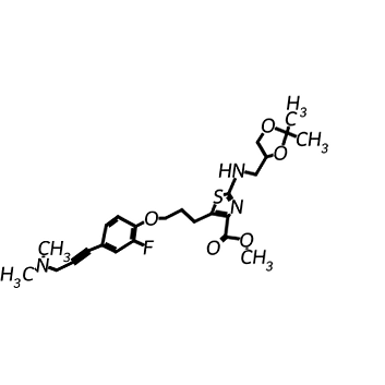 COC(=O)c1nc(NCC2COC(C)(C)O2)sc1CCCOc1ccc(C#CCN(C)C)cc1F